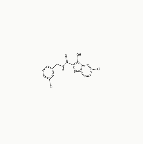 O=C(NCc1cccc(Cl)c1)c1sc2ccc(Cl)cc2c1O